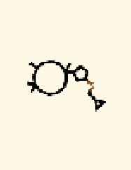 CC1CCCC(C)(C2CCC(SCC3CC3)C2)CCCCCC(C)(C)C1